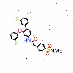 CNS(=O)(=O)c1ccc(CC(=O)Nc2ccc(-c3cccc(F)c3)c(Oc3cccc(F)c3)c2)cc1